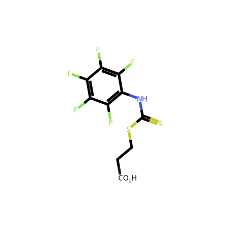 O=C(O)CCSC(=S)Nc1c(F)c(F)c(F)c(F)c1F